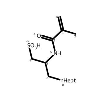 C=C(C)C(=O)NC(CCCCCCCC)CS(=O)(=O)O